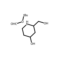 CC(C)(C)OC=O.OCC1CC(O)CCN1